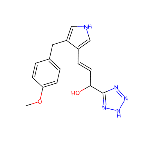 COc1ccc(Cc2c[nH]cc2C=CC(O)c2nn[nH]n2)cc1